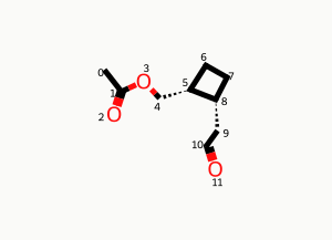 CC(=O)OC[C@@H]1CC[C@@H]1CC=O